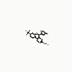 Cn1cnc(-c2nc3cc(C(F)(F)F)ccc3c3cnc(N)nc23)c1